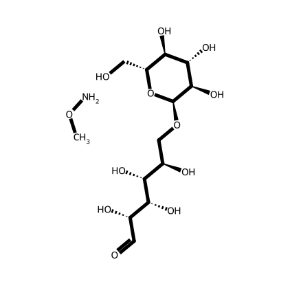 CON.O=C[C@H](O)[C@@H](O)[C@H](O)[C@H](O)CO[C@H]1O[C@H](CO)[C@@H](O)[C@H](O)[C@H]1O